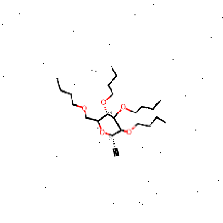 C#C[C@@H]1OC(COCCCC)[C@H](OCCCC)C(OCCCC)C1OCCCC